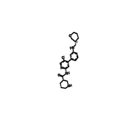 O=C(Nc1cc(-c2cccc(NC[C@H]3CCCOC3)c2)c(Cl)cn1)C1CCCNC1